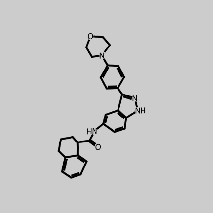 O=C(Nc1ccc2[nH]nc(-c3ccc(N4CCOCC4)cc3)c2c1)C1CCCc2ccccc21